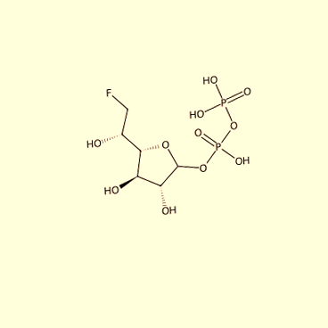 O=P(O)(O)OP(=O)(O)OC1O[C@@H]([C@H](O)CF)[C@H](O)[C@H]1O